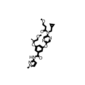 COCCC(=O)N(CC1CC1)c1cnc(Oc2cc(O[C@@H](C)COC)cc(C(=O)Nc3ccn(C)n3)c2)cn1